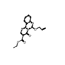 C=CCOc1nc2ccccc2c2ncc(C(=O)OCC)c(=O)n12